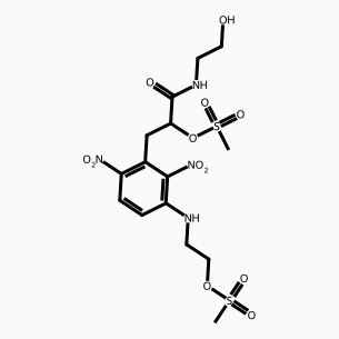 CS(=O)(=O)OCCNc1ccc([N+](=O)[O-])c(CC(OS(C)(=O)=O)C(=O)NCCO)c1[N+](=O)[O-]